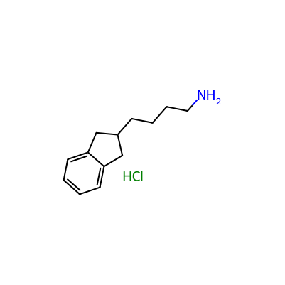 Cl.NCCCCC1Cc2ccccc2C1